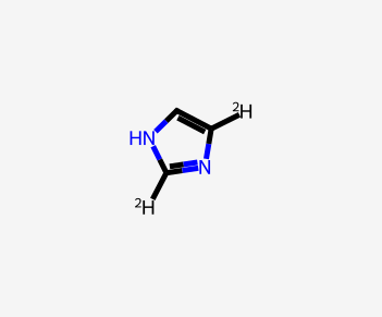 [2H]c1c[nH]c([2H])n1